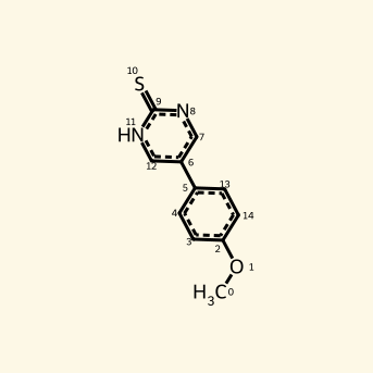 COc1ccc(-c2cnc(=S)[nH]c2)cc1